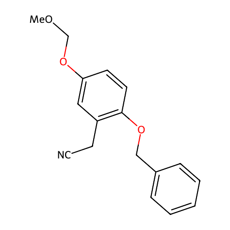 COCOc1ccc(OCc2ccccc2)c(CC#N)c1